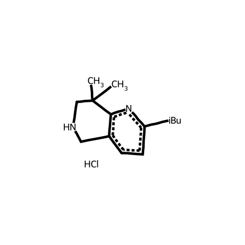 CCC(C)c1ccc2c(n1)C(C)(C)CNC2.Cl